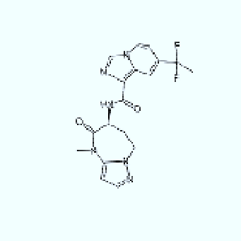 CN1C(=O)[C@@H](NC(=O)c2ncn3ccc(C(C)(F)F)cc23)CCn2nccc21